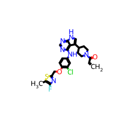 C=CC(=O)N1CCC(c2c[nH]c3ncnc(Nc4ccc(OCc5nc(F)c(C)s5)c(Cl)c4)c23)CC1